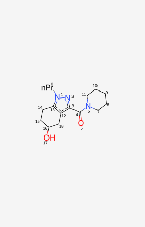 CCCn1nc(C(=O)N2CCCCC2)c2c1CCC(O)C2